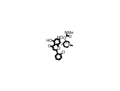 CNC(=O)O[C@@H]1CN(C)CC[C@@H]1c1c(O)cc(O)c2c(=O)cc(-c3ccccc3Cl)oc12